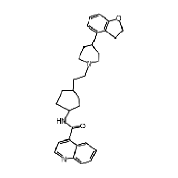 O=C(NC1CCC(CCN2CCC(c3cccc4c3CCO4)CC2)CC1)c1ccnc2ccccc12